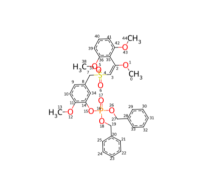 CO/C(=C/S(=O)(=O)Cc1ccc(OC)c(OP(=O)(OCc2ccccc2)OCc2ccccc2)c1)c1c(OC)cccc1OC